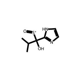 C[C](C)C(O)([S+]=O)c1ncc[nH]1